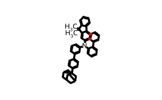 CC1(C)c2ccccc2-c2ccc(N(c3cccc(-c4ccc(C56CC7CC(CC(C7)C5)C6)cc4)c3)c3ccccc3-c3ccccc3)cc21